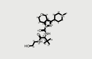 CN1CCC(c2nn(C(=O)N[C@H](C(=O)NCCO)C(C)(C)C)c3c2COCC3)CC1